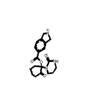 O=C(O[C@]1(N2CCCNC2=O)CCCCC1=O)c1ccc2c(c1)CNC2